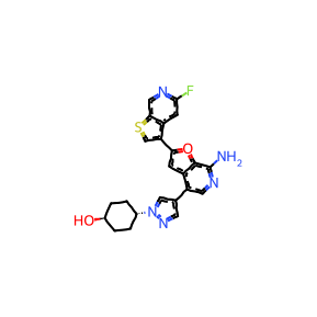 Nc1ncc(-c2cnn([C@H]3CC[C@H](O)CC3)c2)c2cc(-c3csc4cnc(F)cc34)oc12